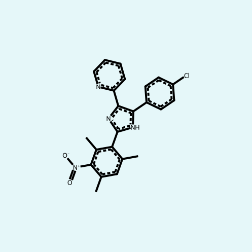 Cc1cc(C)c([N+](=O)[O-])c(C)c1-c1nc(-c2ccccn2)c(-c2ccc(Cl)cc2)[nH]1